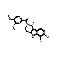 COc1cnc(C(=O)N2CCc3[nH]c4c(Cl)c(Cl)ccc4c3[C@@H]2C)nc1OC